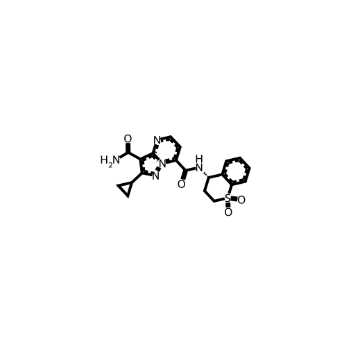 NC(=O)c1c(C2CC2)nn2c(C(=O)N[C@H]3CCS(=O)(=O)c4ccccc43)ccnc12